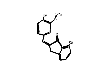 COc1cc(C=C2Cc3cccc(O)c3C2=O)ccc1O